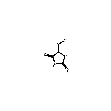 O=C1CC(CCl)C(=O)O1